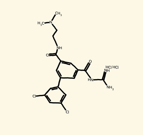 CN(C)CCNC(=O)c1cc(C(=O)NC(=N)N)cc(-c2cc(Cl)cc(Cl)c2)c1.Cl.Cl